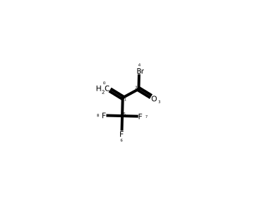 C=C(C(=O)Br)C(F)(F)F